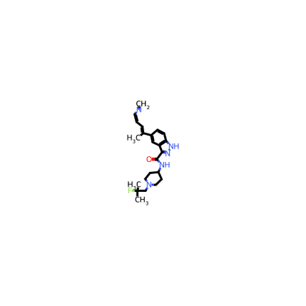 C=N/C=C\C=C(/C)c1ccc2[nH]nc(C(=O)NC3CCN(CC(C)(C)F)CC3)c2c1